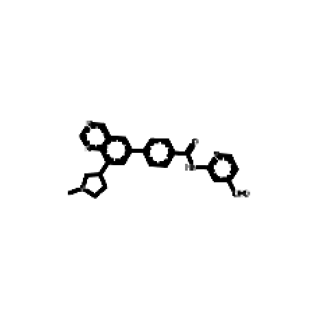 CN1CCC(c2cc(-c3ccc(C(=O)Nc4cc(C=O)ccn4)cc3)cc3cncnc23)C1